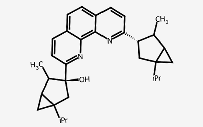 CC1C2CC2(C(C)C)C[C@@H]1c1ccc2ccc3ccc([C@]4(O)CC5(C(C)C)CC5C4C)nc3c2n1